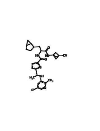 Cc1ncc(Cl)cc1NC(C)c1ccc(C(=O)NC(CC2CCC3CC23)C(=O)NC23CC(C#N)(C2)C3)s1